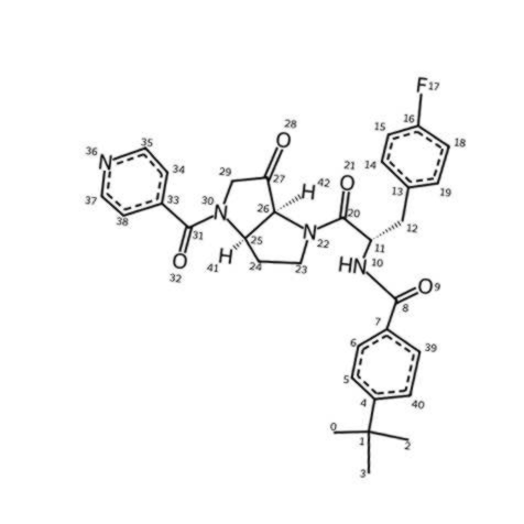 CC(C)(C)c1ccc(C(=O)N[C@@H](Cc2ccc(F)cc2)C(=O)N2CC[C@@H]3[C@H]2C(=O)CN3C(=O)c2ccncc2)cc1